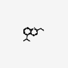 CCc1ccc2c(C(C)C)cccc2n1